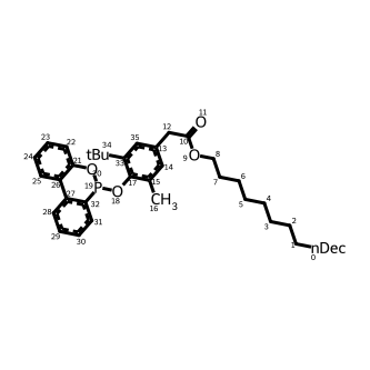 CCCCCCCCCCCCCCCCCCOC(=O)Cc1cc(C)c(OP2Oc3ccccc3-c3ccccc32)c(C(C)(C)C)c1